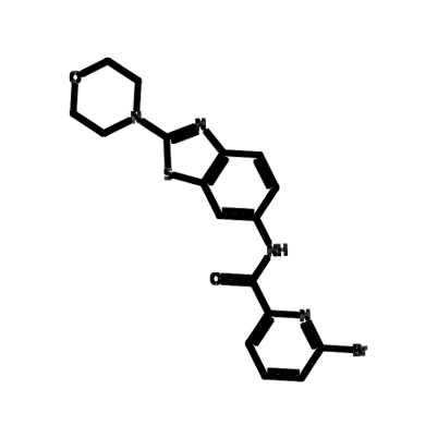 O=C(Nc1ccc2nc(N3CCOCC3)sc2c1)c1cccc(Br)n1